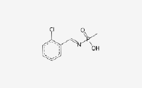 CP(=O)(O)N=Cc1ccccc1Cl